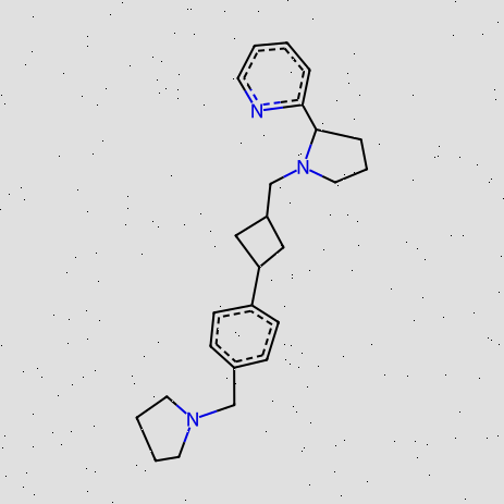 c1ccc(C2CCCN2CC2CC(c3ccc(CN4CCCC4)cc3)C2)nc1